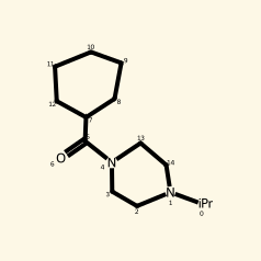 CC(C)N1CCN(C(=O)[C]2CCCCC2)CC1